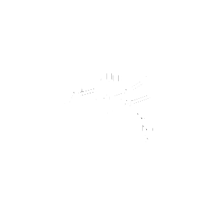 [Al+3].[Na+].[Na+].[OH-].[OH-].[O]=[Al][O-].[O]=[Al][O-].[O]=[Al][O-]